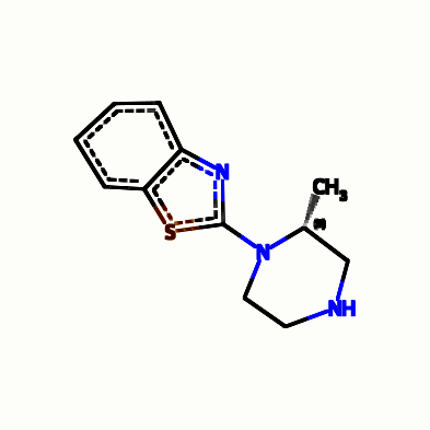 C[C@@H]1CNCCN1c1nc2ccccc2s1